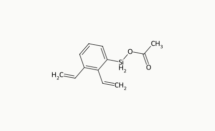 C=Cc1cccc([SiH2]OC(C)=O)c1C=C